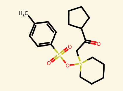 Cc1ccc(S(=O)(=O)OS2(CC(=O)C3CCCC3)CCCCC2)cc1